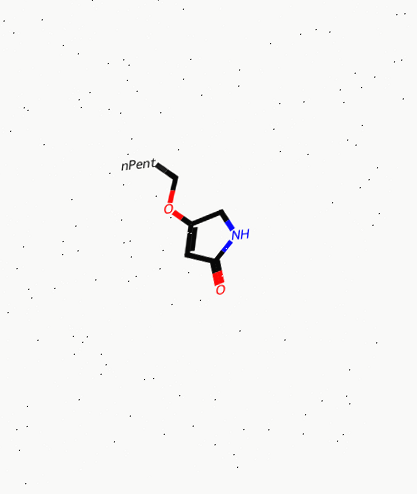 CCCCCCOC1=CC(=O)NC1